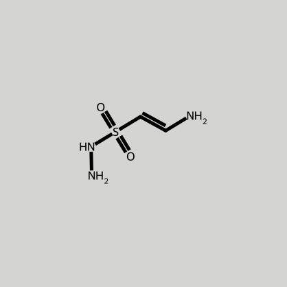 N/C=C/S(=O)(=O)NN